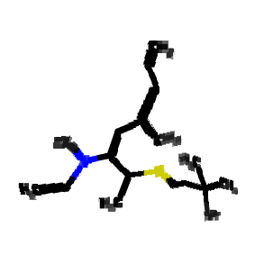 C=C/C=C(C)\C=C(/C(C)SCC(C)(C)CCC)N(C=C)CC